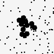 CC1(C)c2ccccc2-c2c(-c3ccc(N(c4ccc(-c5cccc6c5sc5ccccc56)cc4)c4cccc5c4-c4ccccc4C54c5ccccc5-c5ccccc54)cc3)cccc21